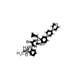 CNS(=O)(=O)c1ccccc1Nc1nc(Nc2ccc(N3CCC(N4CCOCC4)CC3)cc2OCC2CC2)ncc1Br